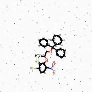 CC(COC(c1ccccc1)(c1ccccc1)c1ccccc1)Oc1c([N+](=O)[O-])ccc(F)c1F